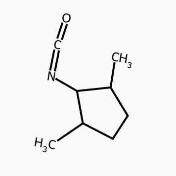 CC1CCC(C)C1N=C=O